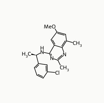 COc1cc(C)c2nc(C)nc(N[C@H](C)c3cccc(Cl)c3)c2c1